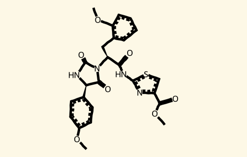 COC(=O)c1csc(NC(=O)[C@H](Cc2ccccc2OC)N2C(=O)N[C@H](c3ccc(OC)cc3)C2=O)n1